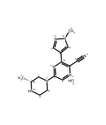 C[C@@H]1CN(c2cnc(C#N)c(-c3cnn(C)c3)n2)CCN1.Cl